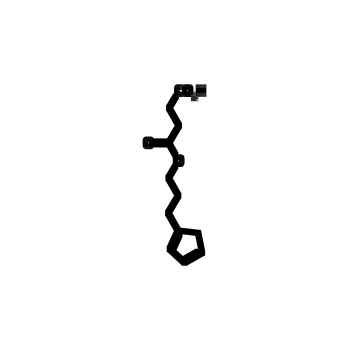 O=C(O)CCC(=O)OCCCC1=CC=CC1